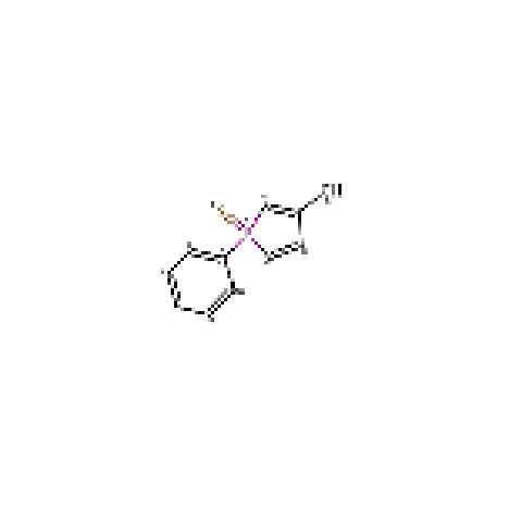 CC1=CP(=S)(c2ccccc2)C=C1